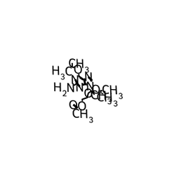 CC(=O)OCCOC(C)(OC(C)C)n1cnc2c(OC(C)C)nc(N)nc21